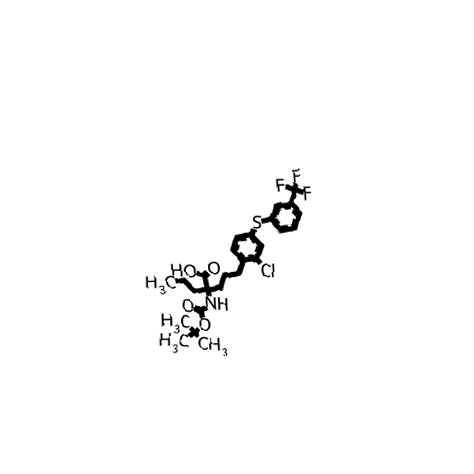 CCCC(CCCc1ccc(Sc2cccc(C(F)(F)F)c2)cc1Cl)(NC(=O)OC(C)(C)C)C(=O)O